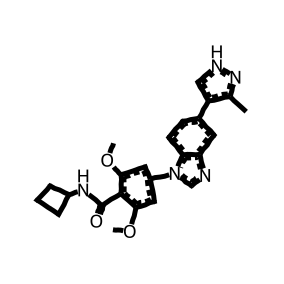 COc1cc(-n2cnc3cc(-c4c[nH]nc4C)ccc32)cc(OC)c1C(=O)NC1CCC1